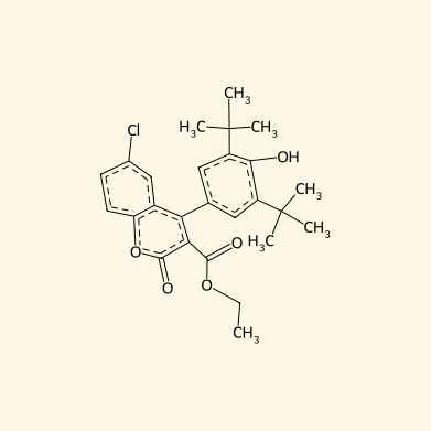 CCOC(=O)c1c(-c2cc(C(C)(C)C)c(O)c(C(C)(C)C)c2)c2cc(Cl)ccc2oc1=O